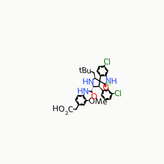 COc1cc(CC(=O)O)ccc1NC(=O)[C@@H]1N[C@@H](CC(C)(C)C)C2(C(=O)Nc3cc(Cl)ccc32)[C@H]1c1cccc(Cl)c1F